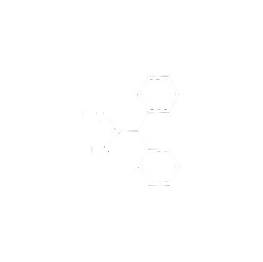 NN(C(=O)O)C(c1ccccc1)c1ccccc1